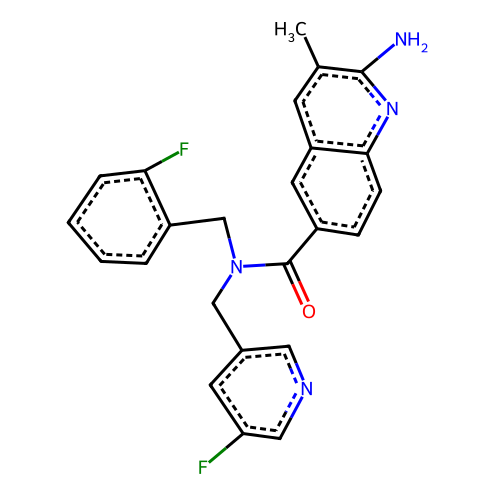 Cc1cc2cc(C(=O)N(Cc3cncc(F)c3)Cc3ccccc3F)ccc2nc1N